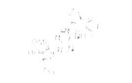 CO[C@@H]1[C@H](O)[C@@H](CO)O[C@H]1n1cnc2c(NC3c4ccccc4-c4ccccc43)ncnc21